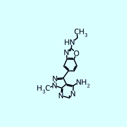 CCNc1nc2cc(-c3nn(C)c4ncnc(N)c34)ccc2o1